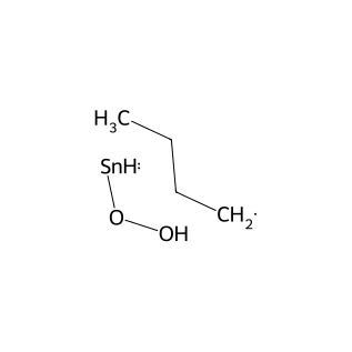 O[O][SnH].[CH2]CCC